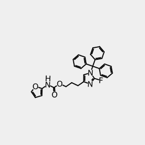 O=C(Nc1ccco1)OCCCc1cn(C(c2ccccc2)(c2ccccc2)c2ccccc2)c(F)n1